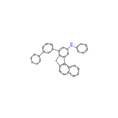 c1ccc(Nc2cc(-c3cccc(-c4ccccc4)c3)c3c(c2)-c2c(ccc4ccccc24)C3)cc1